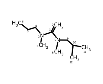 C=C(N(C)CCC)N(C)CC(C)C